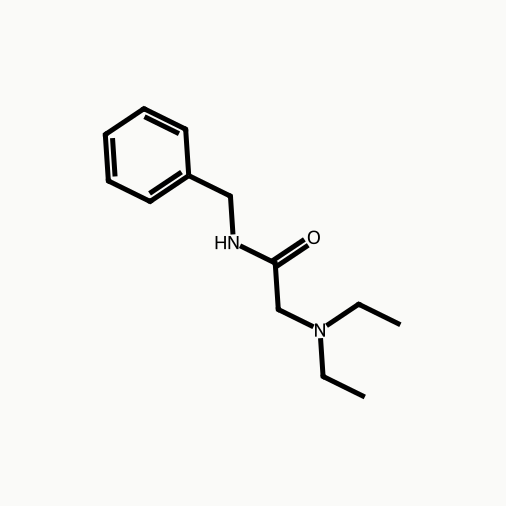 CCN(CC)CC(=O)NCc1ccccc1